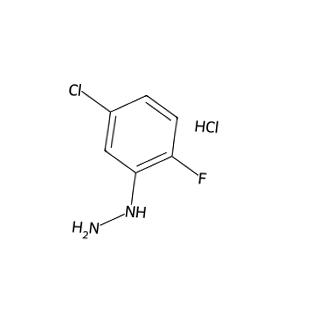 Cl.NNc1cc(Cl)ccc1F